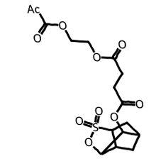 CC(=O)C(=O)OCCOC(=O)CCC(=O)OC1C2CC3C1OS(=O)(=O)C3C2